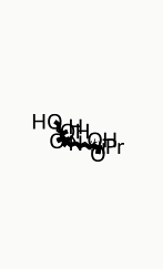 CC(C)C(=O)[C@@H](O)CCCNCC(C)(C)C(=O)C(O)CCO